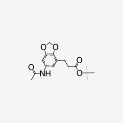 CC(=O)Nc1cc(CCC(=O)OC(C)(C)C)c2c(c1)OCO2